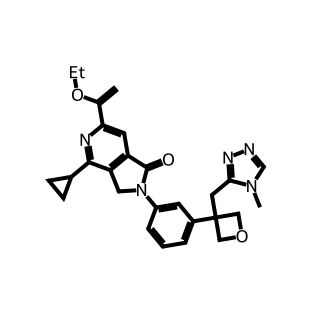 C=C(OCC)c1cc2c(c(C3CC3)n1)CN(c1cccc(C3(Cc4nncn4C)COC3)c1)C2=O